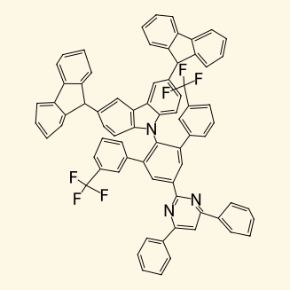 FC(F)(F)c1cccc(-c2cc(-c3nc(-c4ccccc4)cc(-c4ccccc4)n3)cc(-c3cccc(C(F)(F)F)c3)c2-n2c3ccc(C4c5ccccc5-c5ccccc54)cc3c3cc(C4c5ccccc5-c5ccccc54)ccc32)c1